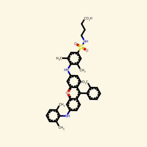 Cc1cccc(C)c1Nc1ccc2c(-c3ccccc3C(=O)O)c3ccc(Nc4c(C)cc(S(=O)(=O)NCCCC(=O)O)cc4C)cc3[o+]c2c1